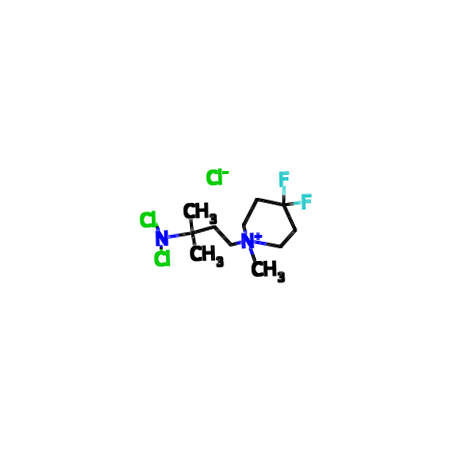 CC(C)(CC[N+]1(C)CCC(F)(F)CC1)N(Cl)Cl.[Cl-]